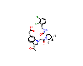 CC(=O)c1cn(CC(=O)N2[C@@H]3C[C@@H]3C[C@H]2C(=O)NCc2cccc(Cl)c2F)c2cc(CC(=O)O)ccc12